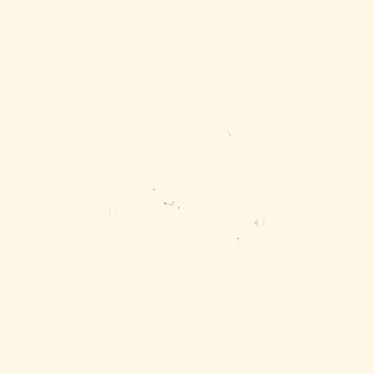 COC(=O)CCCCCCC1=CC(O)CC1=NOCCC(C)CC(=O)O